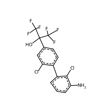 Nc1cccc(-c2ccc(C(O)(C(F)(F)F)C(F)(F)F)cc2Cl)c1Cl